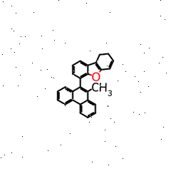 Cc1c(-c2cccc3c4c(oc23)C=CCC4)c2ccccc2c2ccccc12